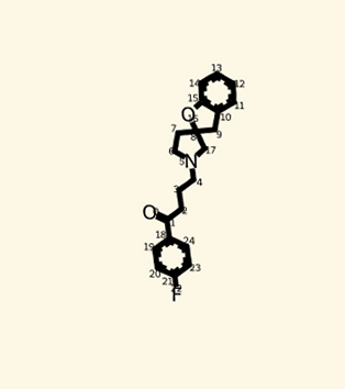 O=C(CCCN1CCC2(Cc3ccccc3O2)C1)c1ccc(F)cc1